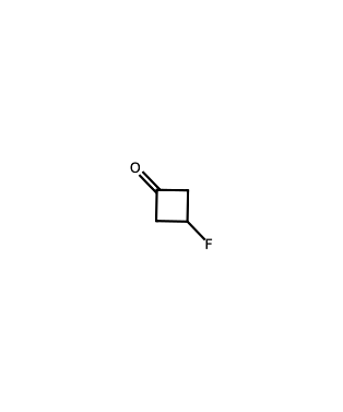 O=C1CC(F)C1